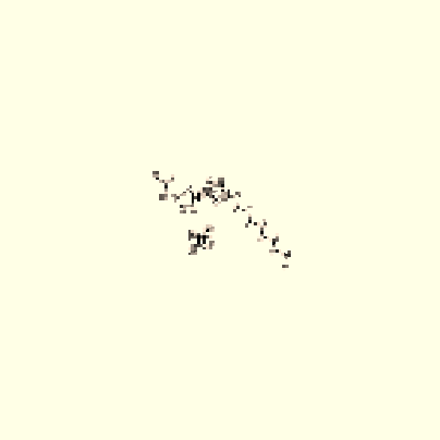 CCCCCCCCCCn1cc[n+](-n2ccc(CCC)c2)c1.F[B-](F)(F)F